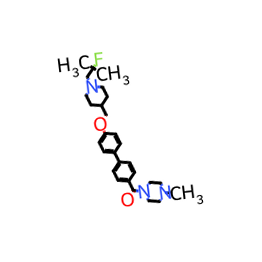 CN1CCN(C(=O)c2ccc(-c3ccc(OCC4CCN(CC(C)(C)F)CC4)cc3)cc2)CC1